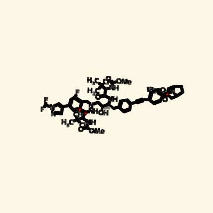 COC(=O)NC(C(=O)N[C@@H](Cc1ccc(C#Cc2ccc(N3CC4CCC(C3)N4C(=O)OC(C)(C)C)nc2)cc1)[C@@H](O)CN(Cc1c(F)cc(-c2cnn(C(F)F)c2)cc1F)NC(=O)C(NC(=O)OC)C(C)(C)C(F)(F)F)C(C)(C)C(F)(F)F